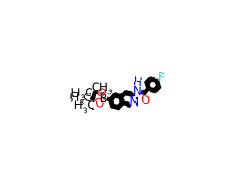 CC1(C)OB(c2ccc3cnc(NC(=O)c4ccc(F)cc4)cc3c2)OC1(C)C